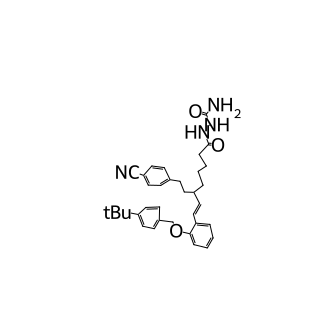 CC(C)(C)c1ccc(COc2ccccc2C=CC(CCCCC(=O)NNC(N)=O)CCc2ccc(C#N)cc2)cc1